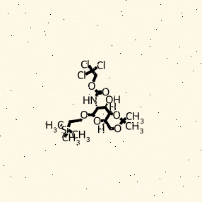 CC1(C)OC[C@H]2OC(OCC[Si](C)(C)C)[C@H](NC(=O)OCC(Cl)(Cl)Cl)[C@@H](O)[C@@H]2O1